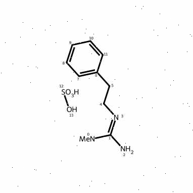 CN/C(N)=N\CCc1ccccc1.O=S(=O)(O)O